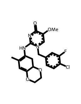 COc1cn(Cc2ccc(Cl)c(F)c2)c(NC2=C(C)C=C3OCCOC3C2)nc1=O